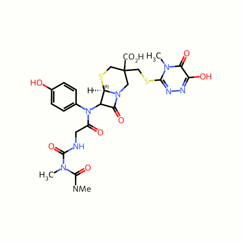 CNC(=O)N(C)C(=O)NCC(=O)N(c1ccc(O)cc1)C1C(=O)N2CC(CSc3nnc(O)c(=O)n3C)(C(=O)O)CS[C@H]12